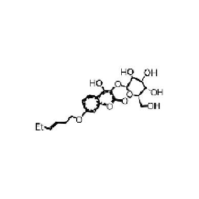 CCC=CCCOc1ccc2c(O)c(O[C@@H]3O[C@H](CO)[C@@H](O)[C@H](O)[C@H]3O)c(=O)oc2c1